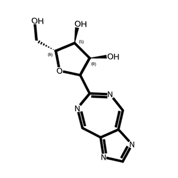 OC[C@H]1OC(c2ncc3ncnc-3cn2)[C@H](O)[C@@H]1O